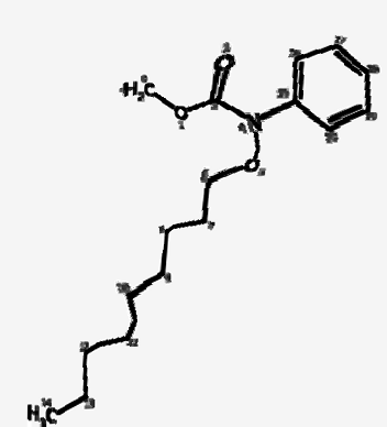 [CH2]OC(=O)N(OCCCCCCCCC)c1ccccc1